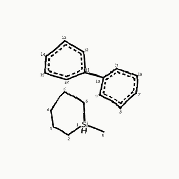 C[SiH]1CCCCC1.c1ccc(-c2ccccc2)cc1